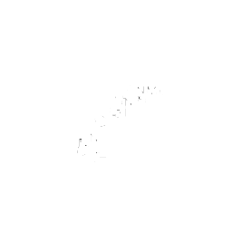 CNC(=O)C(NC(=O)c1ccc(-c2cccc(CNC(=O)c3ncccc3C)c2)o1)C1CCCCC1